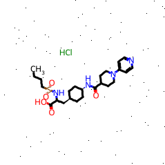 CCCCS(=O)(=O)NC(C[C@H]1CC[C@H](NC(=O)C2CCN(c3ccncc3)CC2)CC1)C(=O)O.Cl